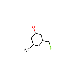 OC1CC(CF)CC(C(F)(F)F)C1